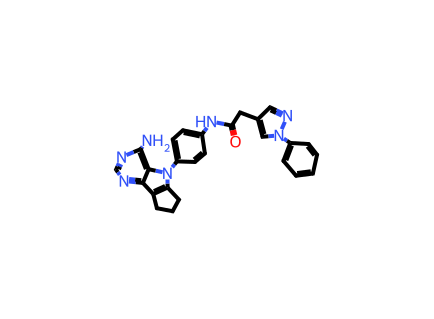 Nc1ncnc2c3c(n(-c4ccc(NC(=O)Cc5cnn(-c6ccccc6)c5)cc4)c12)CCC3